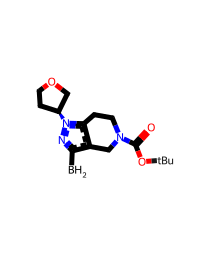 Bc1nn([C@H]2CCOC2)c2c1CN(C(=O)OC(C)(C)C)CC2